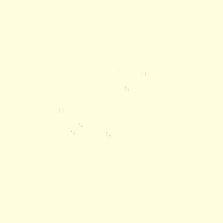 CCn1ncc2cc(Cl)nc(C=CCON(C(=O)O)C(C)c3ccccc3)c21